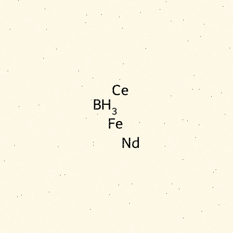 B.[Ce].[Fe].[Nd]